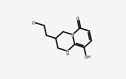 O=c1ccc(O)c2n1CC(CCCl)CN2